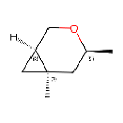 C[C@H]1C[C@@]2(C)C[C@H]2CO1